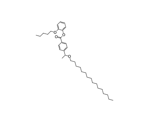 CCCCCCCCCCCCCCCCOC(C)c1ccc(C(=O)Oc2ccccc2OCCCCC)cc1